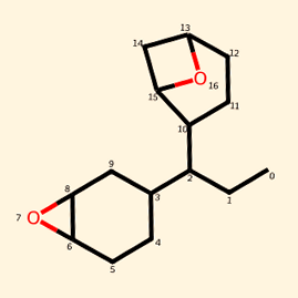 CCC(C1CCC2OC2C1)C1CCC2CC1O2